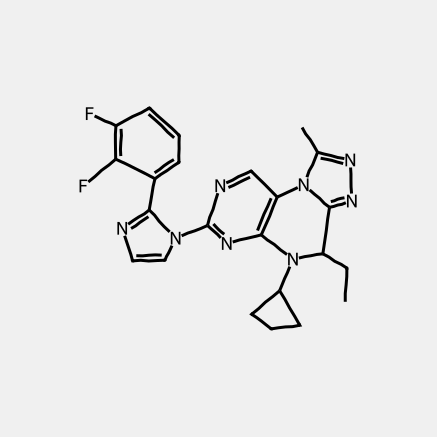 CCC1c2nnc(C)n2-c2cnc(-n3ccnc3-c3cccc(F)c3F)nc2N1C1CCC1